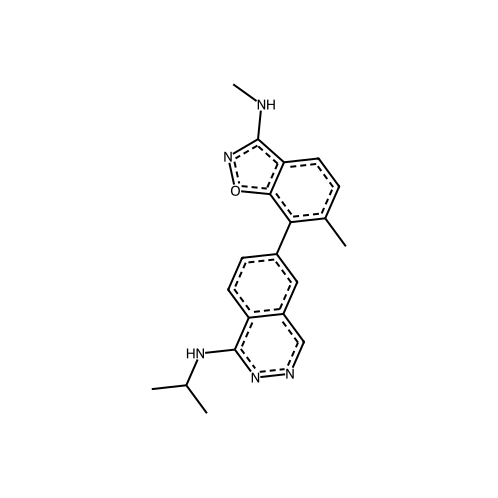 CNc1noc2c(-c3ccc4c(NC(C)C)nncc4c3)c(C)ccc12